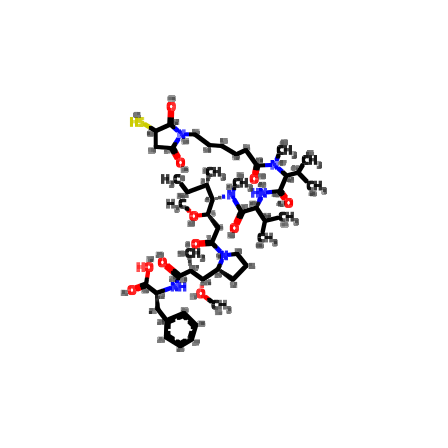 CC[C@H](C)[C@@H]([C@@H](CC(=O)N1CCC[C@H]1[C@H](OC)[C@@H](C)C(=O)N[C@@H](Cc1ccccc1)C(=O)O)OC)N(C)C(=O)[C@@H](NC(=O)C(C(C)C)N(C)C(=O)CCCCCN1C(=O)CC(S)C1=O)C(C)C